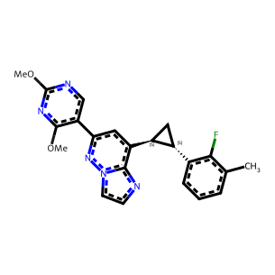 COc1ncc(-c2cc([C@H]3C[C@@H]3c3cccc(C)c3F)c3nccn3n2)c(OC)n1